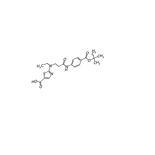 CCN(CCC(=O)Nc1ccc(C(=O)OC(C)(C)C)cc1)c1ncc(C(=O)O)s1